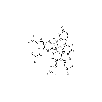 Cc1ccc2c(c1)C(C)(c1ccc(OCC(C)C)c(OCC(C)C)c1)C(C)(c1ccc(OCC(C)C)c(OCC(C)C)c1)c1cc(C)ccc1-2